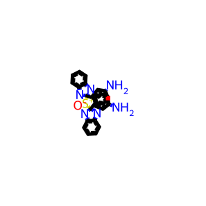 Nc1ccc(C2([S+]([O-])C3(c4ccc(N)cc4)N=c4ccccc4=N3)N=c3ccccc3=N2)cc1